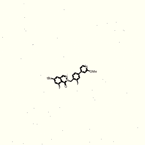 COc1cc(-c2ccc(Cn3ncc4cc(C(C)(C)C)cc(F)c4c3=O)c(F)c2)ccn1